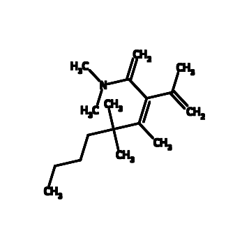 C=C(C)/C(C(=C)N(C)C)=C(\C)C(C)(C)CCCC